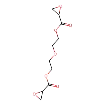 O=C(OCCOCCOC(=O)C1CO1)C1CO1